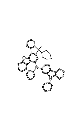 CC1(C2CCCCC2)c2ccccc2-c2c1cc(N(c1ccccc1)c1ccc3c4ccccc4n(-c4ccccc4)c3c1)c1c2oc2ccccc21